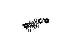 CCN(C(=O)NC1CCN(Cc2ccccc2)CC1)c1ncsc1C(=O)Nc1c(C)cc(C)cc1C